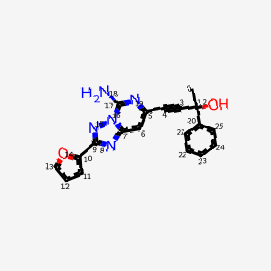 CC(O)(C#Cc1cc2nc(-c3ccco3)nn2c(N)n1)c1ccccc1